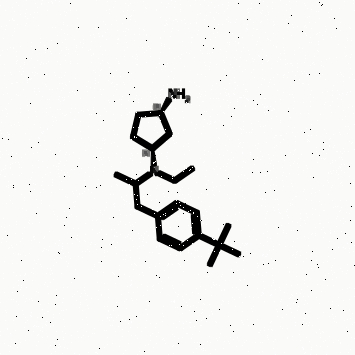 CCN(C(C)Cc1ccc(C(C)(C)C)cc1)[C@H]1CC[C@@H](N)C1